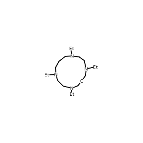 CCN1CCCN(CC)CCN(CC)CCCN(CC)CC1